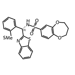 CSc1ccccc1[C@H](NS(=O)(=O)c1ccc2c(c1)OCCCO2)c1nc2ccccc2s1